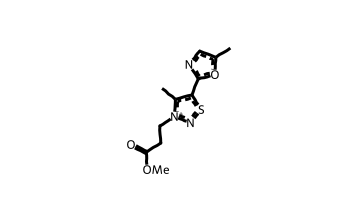 COC(=O)CC[n+]1nsc(-c2ncc(C)o2)c1C